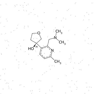 Cc1ccc([C@]2(O)CCOC2)c(CN(C)C)n1